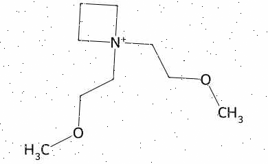 COCC[N+]1(CCOC)CCC1